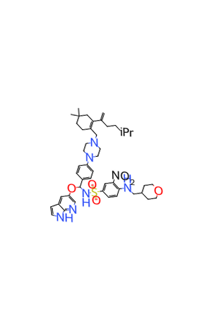 C=C(CCC(C)C)C1=C(CN2CCN(c3ccc(C(NS(=O)(=O)c4ccc(NCC5CCOCC5)c([N+](=O)[O-])c4)Oc4cnc5[nH]ccc5c4)cc3)CC2)CCC(C)(C)C1